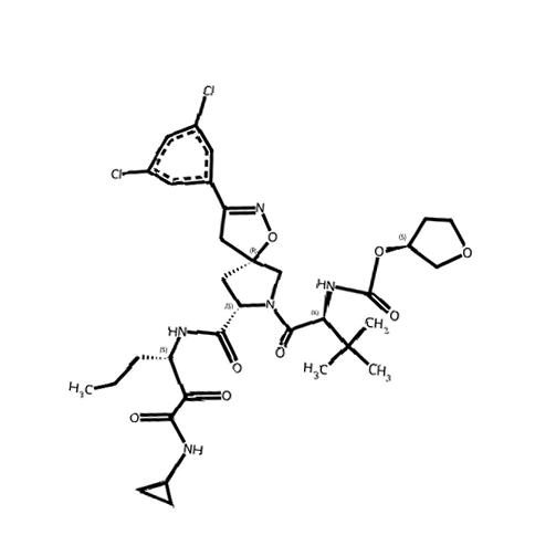 CCC[C@H](NC(=O)[C@@H]1C[C@@]2(CC(c3cc(Cl)cc(Cl)c3)=NO2)CN1C(=O)[C@@H](NC(=O)O[C@H]1CCOC1)C(C)(C)C)C(=O)C(=O)NC1CC1